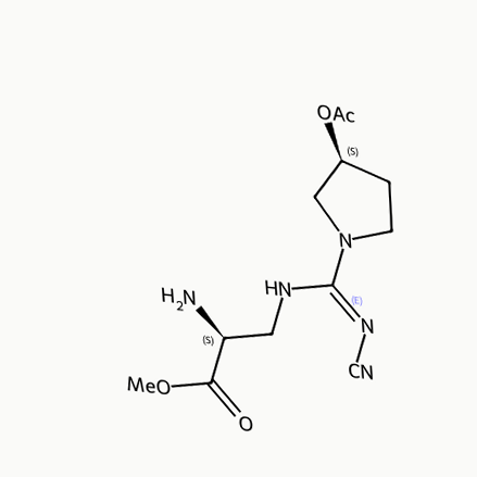 COC(=O)[C@@H](N)CN/C(=N\C#N)N1CC[C@H](OC(C)=O)C1